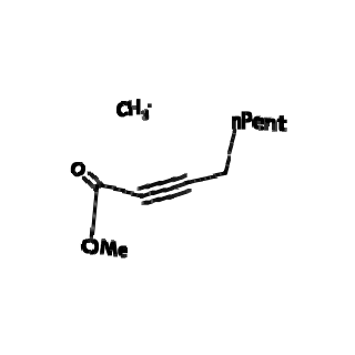 CCCCCCC#CC(=O)OC.[CH3]